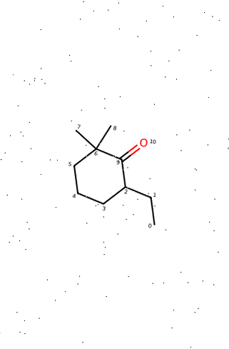 CCC1CCCC(C)(C)C1=O